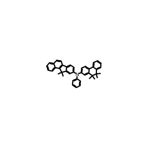 CC1(C)c2cc(N(c3ccccc3)c3ccc4c(c3)C(C)(C)C(C)(C)c3ccccc3-4)ccc2-c2ccc3ccccc3c21